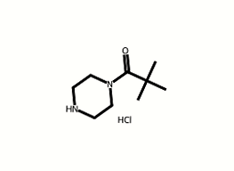 CC(C)(C)C(=O)N1CCNCC1.Cl